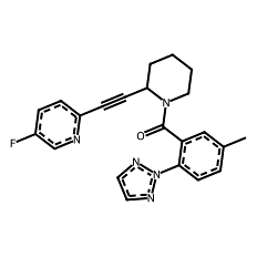 Cc1ccc(-n2nccn2)c(C(=O)N2CCCCC2C#Cc2ccc(F)cn2)c1